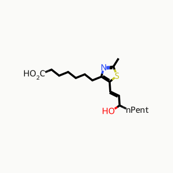 CCCCCC(O)/C=C/c1sc(C)nc1CCCCCCC(=O)O